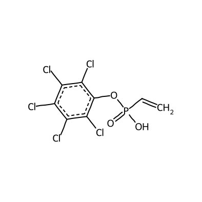 C=CP(=O)(O)Oc1c(Cl)c(Cl)c(Cl)c(Cl)c1Cl